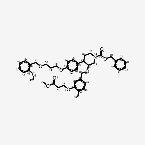 COC(=O)CCOc1cc(COC2CN(C(=O)OCc3ccccc3)CCC2c2ccc(OCCCOCc3ccccc3OC)cc2)ccc1C